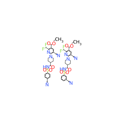 CCOC(=O)c1cc(C#N)c(N2CCC(C(=O)NS(=O)(=O)c3ccc(C#N)cc3)CC2)nc1C(F)F.CCOC(=O)c1cc(C#N)c(N2CCC(C(=O)NS(=O)(=O)c3cccc(C#N)c3)CC2)nc1C(F)F